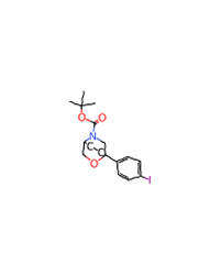 CC(C)(C)OC(=O)N1CC2(c3ccc(I)cc3)CCC1CO2